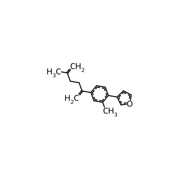 C=C(C)CCC(=C)c1ccc(-c2ccoc2)c(C)c1